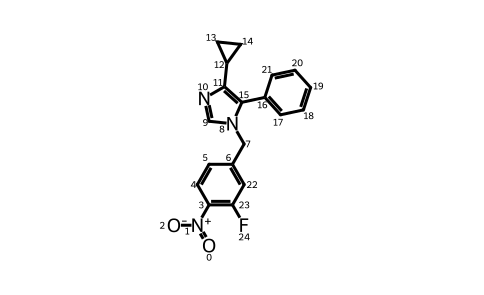 O=[N+]([O-])c1ccc(Cn2cnc(C3CC3)c2-c2ccccc2)cc1F